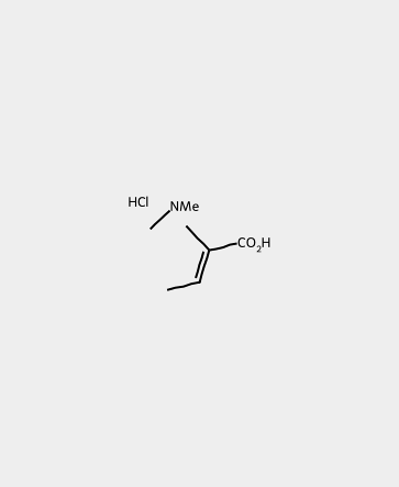 CC=C(C)C(=O)O.CNC.Cl